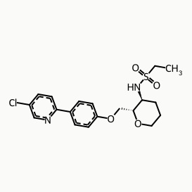 CCS(=O)(=O)N[C@H]1CCCO[C@@H]1COc1ccc(-c2ccc(Cl)cn2)cc1